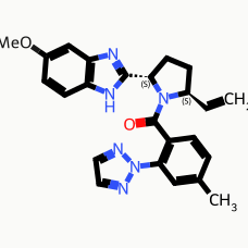 C=C[C@@H]1CC[C@@H](c2nc3cc(OC)ccc3[nH]2)N1C(=O)c1ccc(C)cc1-n1nccn1